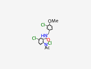 COc1ccc(CNC(=O)c2cc(Cl)ccc2N(Cl)C(C)=O)cc1Cl